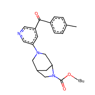 Cc1ccc(C(=O)c2cncc(N3CC4CC(C3)N(C(=O)OC(C)(C)C)C4)c2)cc1